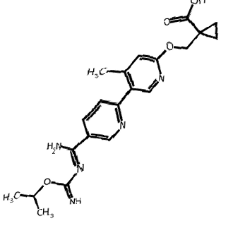 Cc1cc(OCC2(C(=O)O)CC2)ncc1-c1ccc(/C(N)=N/C(=N)OC(C)C)cn1